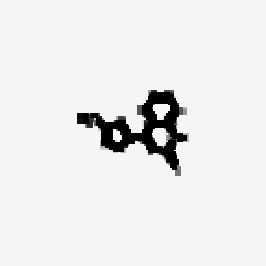 Cc1csc(-c2cc(=O)[nH]c3ccccc23)c1